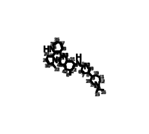 C=C1C=C(Nc2ccc(C3CCCN(C(C)C)CC3)cn2)C=c2nc(C3=C(c4cccc(C)n4)NC=CC=C3)ccc2=C1